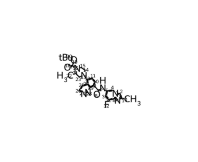 Cc1cn2cc(NC(=O)c3ccc(N4CCN(C(=O)OC(C)(C)C)[C@H](C)C4)c4ccnnc34)cc(F)c2n1